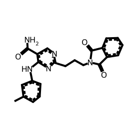 Cc1cccc(Nc2nc(CCCN3C(=O)c4ccccc4C3=O)ncc2C(N)=O)c1